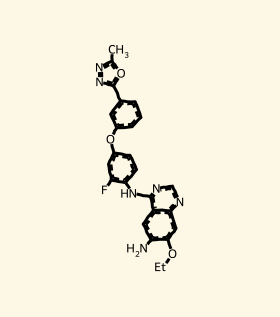 CCOc1cc2ncnc(Nc3ccc(Oc4cccc(-c5nnc(C)o5)c4)cc3F)c2cc1N